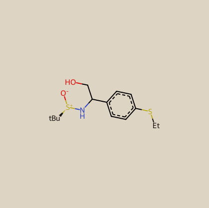 CCSc1ccc(C(CO)N[S@+]([O-])C(C)(C)C)cc1